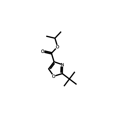 CC(C)OC(=O)c1coc(C(C)(C)C)n1